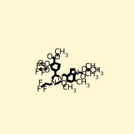 COC(=O)c1ccc(C2CN(CCC(F)(F)F)CCN2Cc2c(OC)cc(C)c3c2ccn3C(=O)OC(C)(C)C)cc1OS(=O)(=O)C(F)(F)F